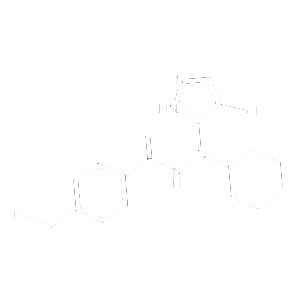 O=C(NN(c1[nH]ncc1Cl)C1CCOCC1)c1ccc(CBr)cc1